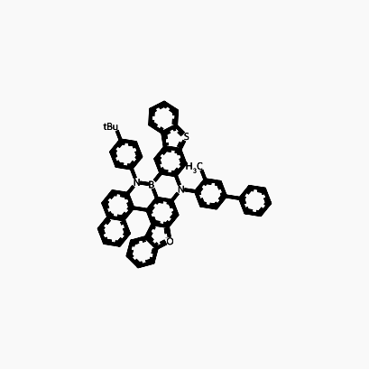 Cc1cc(-c2ccccc2)ccc1N1c2cc3sc4ccccc4c3cc2B2c3c1cc1oc4ccccc4c1c3-c1c(ccc3ccccc13)N2c1ccc(C(C)(C)C)cc1